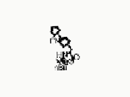 CCCCOC(=O)NC(Cc1ccc(-c2ccccc2C#N)cc1)C(=O)OC